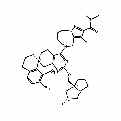 Cc1c(C(=O)N(C)C)nn2c1CN(c1nc(OC[C@@]34CCCN3C[C@H](F)C4)nc3c1CO[C@@]1(CCCc4ccc(N)c(C#N)c41)C3)CCC2